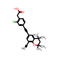 C#Cc1cc(C#Cc2ccc(CC(=O)O)c(F)c2)cc2c1OC(C)(C)CC2(C)C